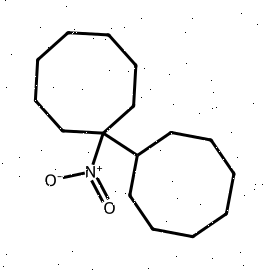 O=[N+]([O-])C1(C2CCCCCCC2)CCCCCCC1